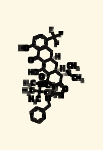 CN(C)[C@@H]1c2onc(OCc3ccccc3)c2C(=O)[C@@]2(O[Si](C)(C)C(C)(C)C)C(O)=C3C(=O)c4c(O)ccc(C(F)(F)F)c4C[C@H]3C[C@@H]12